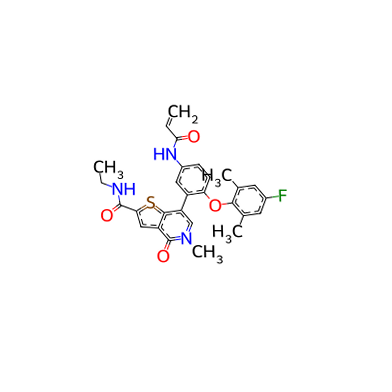 C=CC(=O)Nc1ccc(Oc2c(C)cc(F)cc2C)c(-c2cn(C)c(=O)c3cc(C(=O)NCC)sc23)c1